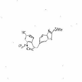 CSc1nc2ccc(CN(C=O)c3ccc(C#N)cc3[N+](=O)[O-])cc2s1